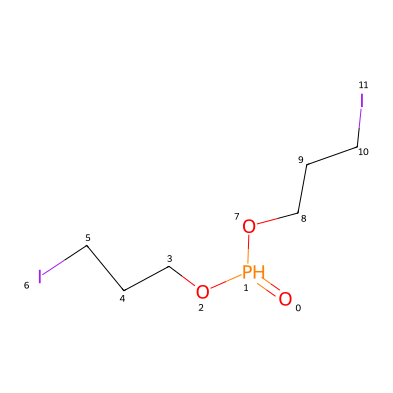 O=[PH](OCCCI)OCCCI